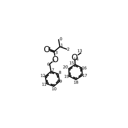 CC(C)C(=O)OCc1ccccc1.COc1ccccc1